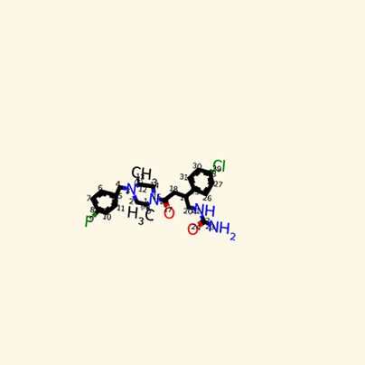 C[C@@H]1CN(Cc2ccc(F)cc2)[C@@H](C)CN1C(=O)CC(CNC(N)=O)c1ccc(Cl)cc1